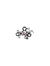 Cc1cccc(C(=O)N/N=C/N2[C@@H]3CC[C@H]2CC(OCc2c(-c4c(Cl)cccc4Cl)noc2C2CC2)C3)c1